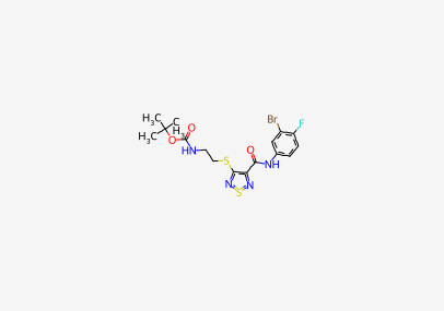 CC(C)(C)OC(=O)NCCSc1nsnc1C(=O)Nc1ccc(F)c(Br)c1